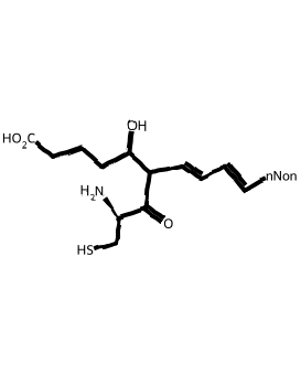 CCCCCCCCCC=CC=CC(C(=O)[C@H](N)CS)C(O)CCCC(=O)O